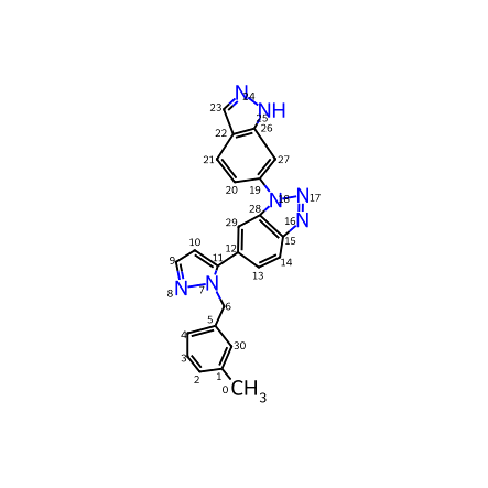 Cc1cccc(Cn2nccc2-c2ccc3nnn(-c4ccc5cn[nH]c5c4)c3c2)c1